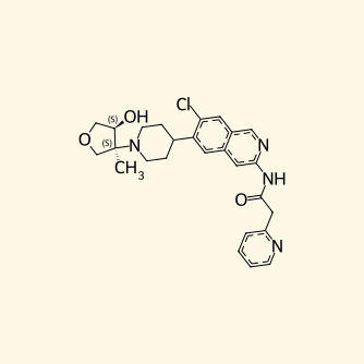 C[C@]1(N2CCC(c3cc4cc(NC(=O)Cc5ccccn5)ncc4cc3Cl)CC2)COC[C@H]1O